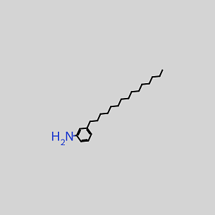 CCCCCCCCCCCCCCCc1cccc(N)c1